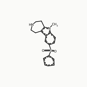 Cn1c2c(c3cc(S(=O)(=O)c4ccccc4)ccc31)CCNCC2